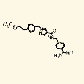 COCCc1ccc(Cn2cc(C(=O)NCc3ccc(C(=N)N)cc3)cn2)cc1